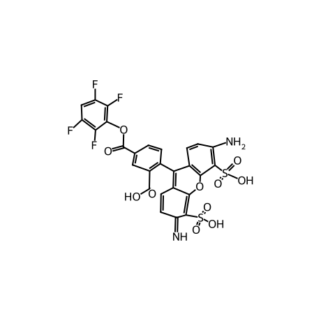 N=c1ccc2c(-c3ccc(C(=O)Oc4c(F)c(F)cc(F)c4F)cc3C(=O)O)c3ccc(N)c(S(=O)(=O)O)c3oc-2c1S(=O)(=O)O